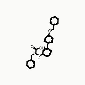 O=C(O)[C@H](Cc1ccccc1)Nc1cccc(-c2ccc(OCc3ccccc3)cc2)c1